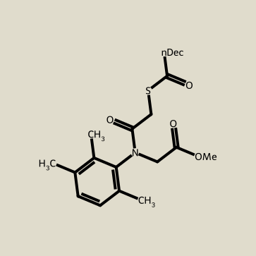 CCCCCCCCCCC(=O)SCC(=O)N(CC(=O)OC)c1c(C)ccc(C)c1C